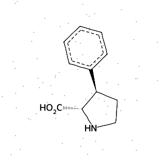 O=C(O)[C@H]1NCC[C@@H]1c1ccccc1